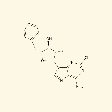 Nc1nc(Cl)nc2c1ncn2C1O[C@H](Cc2cc[c]cc2)[C@@H](O)[C@@H]1F